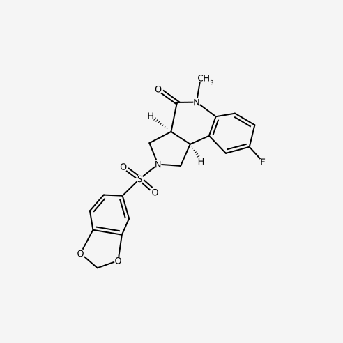 CN1C(=O)[C@@H]2CN(S(=O)(=O)c3ccc4c(c3)OCO4)C[C@@H]2c2cc(F)ccc21